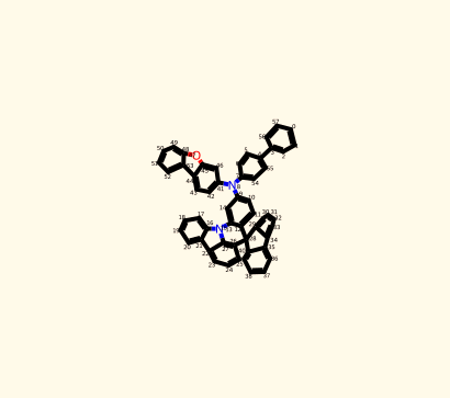 c1ccc(-c2ccc(N(c3ccc4c(c3)-n3c5ccccc5c5cccc(c53)C43c4ccccc4-c4ccccc43)c3ccc4c(c3)oc3ccccc34)cc2)cc1